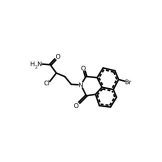 NC(=O)C(Cl)CCN1C(=O)c2cccc3c(Br)ccc(c23)C1=O